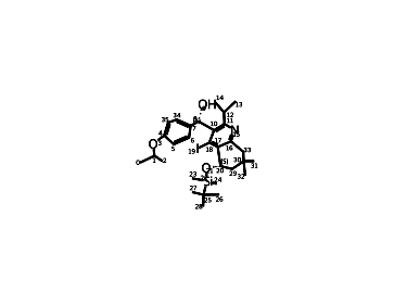 CC(C)Oc1ccc([C@H](O)c2c(C(C)C)nc3c(c2I)[C@@H](O[Si](C)(C)C(C)(C)C)CC(C)(C)C3)cc1